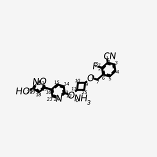 N.N#Cc1cccc(COC2CC(Oc3ccc(-c4cc(O)no4)cn3)C2)c1F